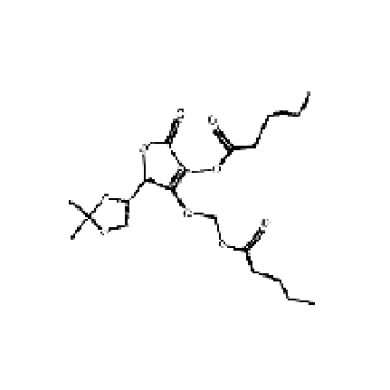 CCCCC(=O)OCOC1=C(OC(=O)CCCC)C(=O)OC1C1COC(C)(C)O1